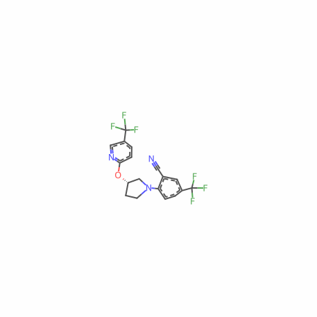 N#Cc1cc(C(F)(F)F)ccc1N1CC[C@H](Oc2ccc(C(F)(F)F)cn2)C1